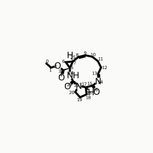 CCOC(=O)[C@@]12C[C@H]1/C=C\CCC/C=N/C(=O)[C@@H]1CCCN1C(=O)N2